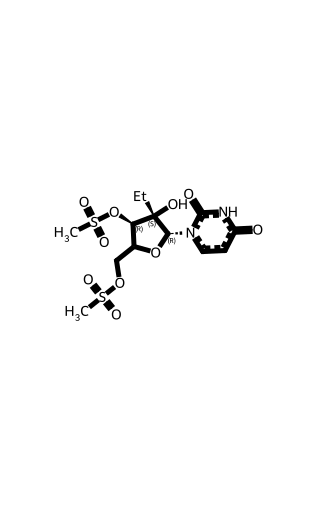 CC[C@]1(O)[C@H](OS(C)(=O)=O)C(COS(C)(=O)=O)O[C@H]1n1ccc(=O)[nH]c1=O